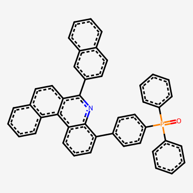 O=P(c1ccccc1)(c1ccccc1)c1ccc(-c2cccc3c2nc(-c2ccc4ccccc4c2)c2ccc4ccccc4c23)cc1